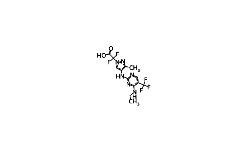 CCNc1nc(Nc2cn(C(F)(F)C(=O)O)nc2C)ncc1C(F)(F)F